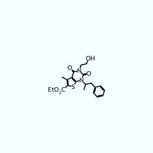 CCOC(=O)c1sc2c(c1C)c(=O)n(CCO)c(=O)n2C(C)Cc1ccccc1